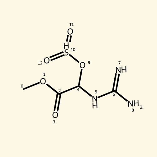 COC(=O)C(NC(=N)N)O[SH](=O)=O